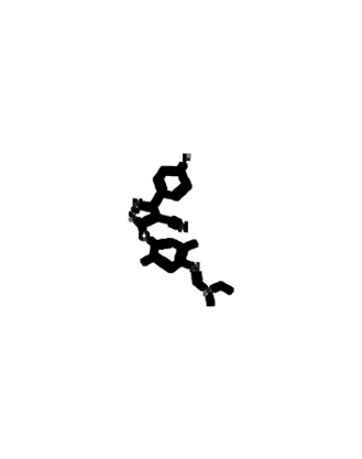 CCN(C)C=Nc1cc(C)c(Oc2snc(-c3ccc(F)cc3)c2C#N)cc1C